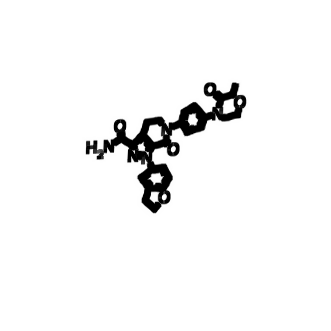 CC1OCCN(c2ccc(N3CCc4c(C(N)=O)nn(-c5ccc6c(c5)CCO6)c4C3=O)cc2)C1=O